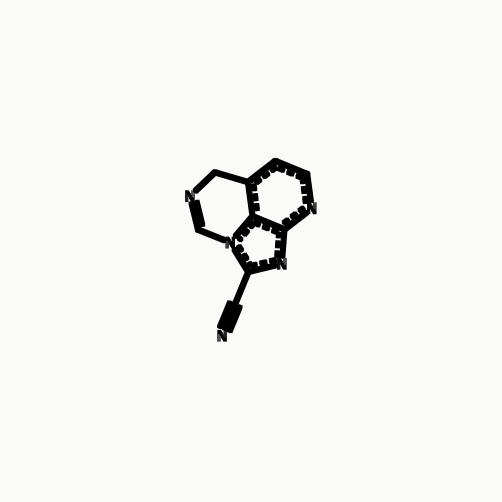 N#Cc1nc2nccc3c2n1C=NC3